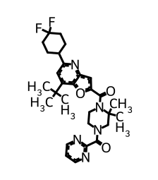 CC(C)(C)c1cc(C2CCC(F)(F)CC2)nc2cc(C(=O)N3CCN(C(=O)c4ncccn4)CC3(C)C)oc12